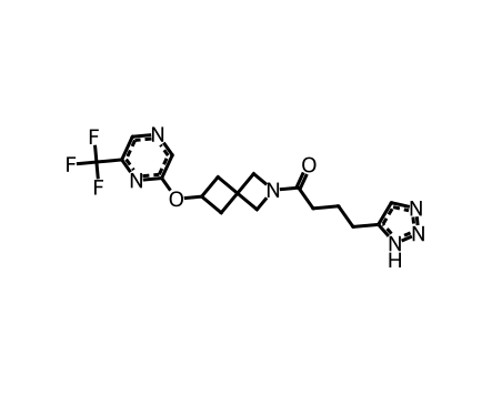 O=C(CCCc1cnn[nH]1)N1CC2(CC(Oc3cncc(C(F)(F)F)n3)C2)C1